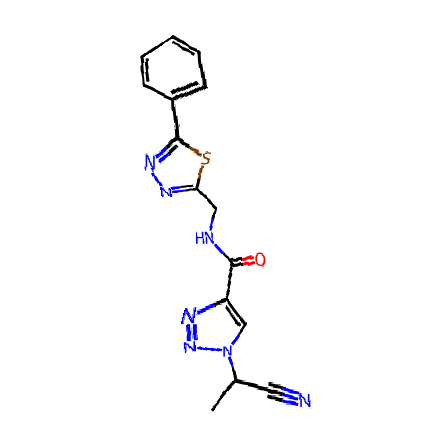 CC(C#N)n1cc(C(=O)NCc2nnc(-c3ccccc3)s2)nn1